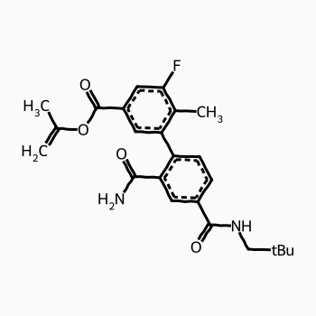 C=C(C)OC(=O)c1cc(F)c(C)c(-c2ccc(C(=O)NCC(C)(C)C)cc2C(N)=O)c1